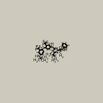 CC(C)(C)Nc1ccc(Oc2ccc(Nc3nc(C(C)(C)C)nc(C(C)(C)Nc4ccccc4)n3)cc2C(F)(F)F)c(C(F)(F)F)c1